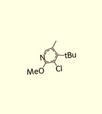 COc1ncc(C)c(C(C)(C)C)c1Cl